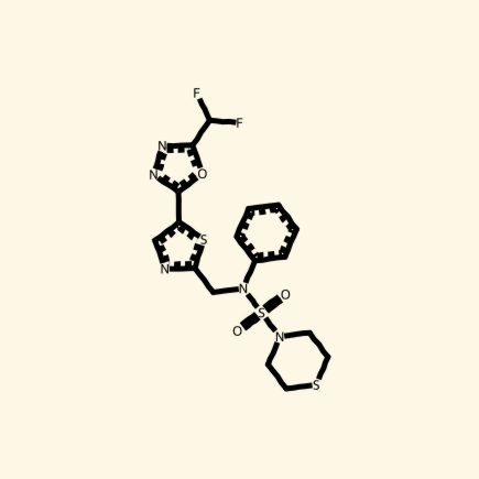 O=S(=O)(N1CCSCC1)N(Cc1ncc(-c2nnc(C(F)F)o2)s1)c1ccccc1